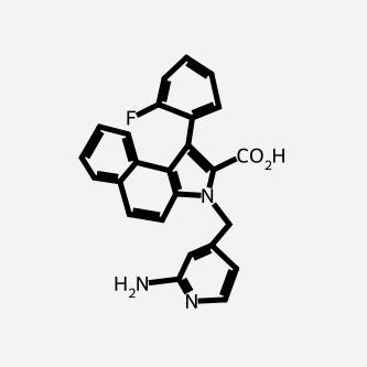 Nc1cc(Cn2c(C(=O)O)c(-c3ccccc3F)c3c4ccccc4ccc32)ccn1